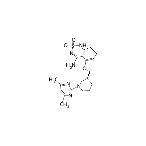 Cc1cc(C)nc(N2CCC[C@H](COc3cccc4c3C(N)=NS(=O)(=O)N4)C2)n1